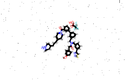 COc1ccc(CC(=O)N(Cc2cccc(-c3cccc(C(=O)N4CCC(CCCC5CCNCC5)CC4)c3)c2)Cc2cccc(-c3csnn3)c2)cc1.O=C(O)C(F)(F)F